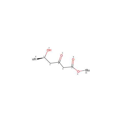 CCC[C@@H](O)CC(=O)CC(=O)OC(C)(C)C